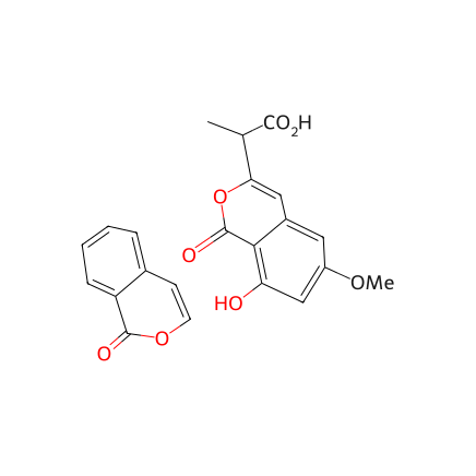 COc1cc(O)c2c(=O)oc(C(C)C(=O)O)cc2c1.O=c1occc2ccccc12